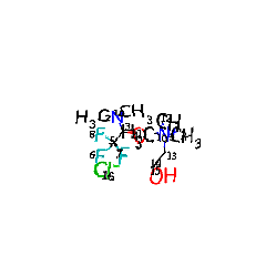 CN(C)C(=O)C(F)(F)F.C[N+](C)(C)CCO.[Cl-]